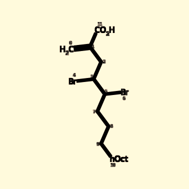 C=C(CC(Br)C(Br)CCCCCCCCCCC)C(=O)O